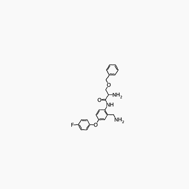 NCc1cc(Oc2ccc(F)cc2)ccc1NC(=O)C(N)COCc1ccccc1